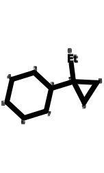 [CH2]CC1(C2CCCCC2)CC1